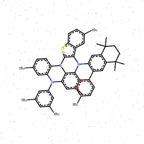 Cc1cc2c3c(c1)N(c1cc4c(cc1-c1ccc(C(C)(C)C)cc1)C(C)(C)CCC4(C)C)c1c(sc4ccc(C(C)(C)C)cc14)B3c1ccc(C(C)(C)C)cc1N2c1cc(C(C)(C)C)cc(C(C)(C)C)c1